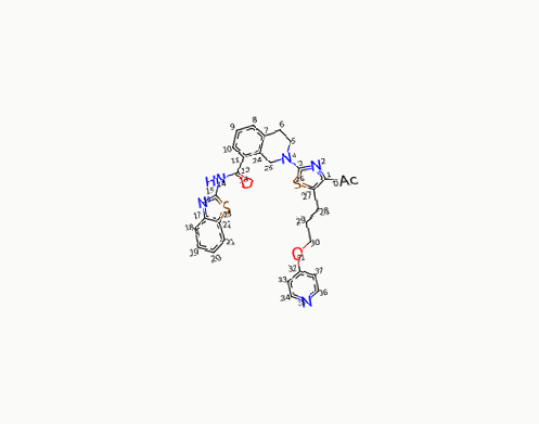 CC(=O)c1nc(N2CCc3cccc(C(=O)Nc4nc5ccccc5s4)c3C2)sc1CCCOc1ccncc1